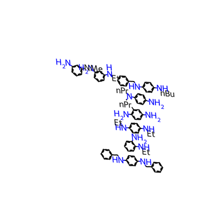 CCCCNc1ccc(NCc2ccccc2)cc1.CCCN(C)c1ccc(N)cc1.CCCc1cc(N)ccc1N.CCNc1ccc(NCC)cc1.CCNc1cccc(N)c1.CCNc1ccccc1N.CNc1cccc(N)c1.c1ccc(CNc2ccc(NCc3ccccc3)cc2)cc1